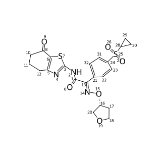 O=C(Nc1nc2c(s1)C(=O)CCC2)/C(=N/O[C@@H]1CCOC1)c1ccc(S(=O)(=O)C2CC2)cc1